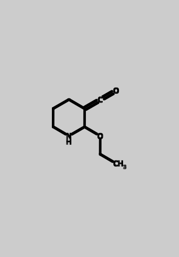 CCOC1NCCCC1=C=O